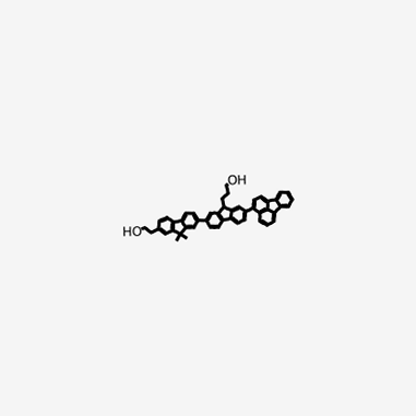 CC1(C)c2cc(CCO)ccc2-c2ccc(-c3ccc4c(c3)C(CCCO)c3cc(-c5ccc6c7c(cccc57)-c5ccccc5-6)ccc3-4)cc21